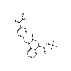 CC(C)(C)OC(=O)N1CC(=O)N(Cc2ccc(C(=O)NO)cc2)c2ccccc21